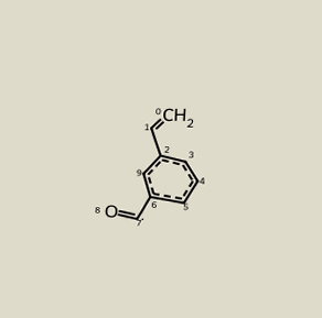 C=Cc1cccc([C]=O)c1